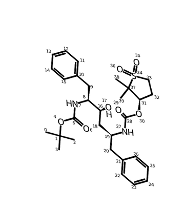 CC(C)(C)OC(=O)N[C@@H](Cc1ccccc1)[C@@H](O)C[C@H](Cc1ccccc1)NC(=O)O[C@@H]1CCS(=O)(=O)C1(C)C